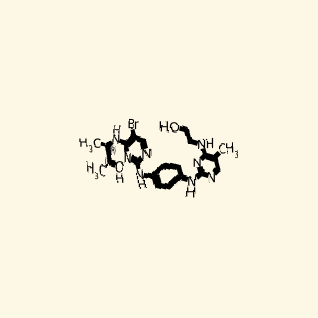 Cc1cnc(Nc2ccc(Nc3ncc(Br)c(N[C@H](C)[C@@H](C)O)n3)cc2)nc1NCCO